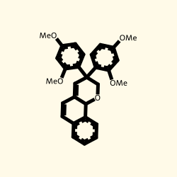 COc1ccc(C2(c3ccc(OC)cc3OC)C=C3C=Cc4ccccc4C3OC2)c(OC)c1